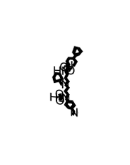 CN(C)c1ccc(N(CCCN(CCCNS(=O)(=O)N2CCC(c3ccccc3)CC2)CC2CCCCC2)[SH](=O)=O)cc1